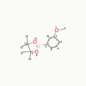 COc1[c]ccc(B2OC(C)(C)C(C)(C)O2)c1